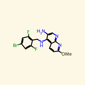 COc1ccc2c(NCc3c(F)cc(Br)cc3F)c(N)cnc2n1